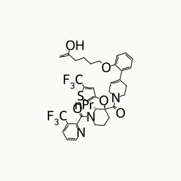 C=C(O)CCCCOc1ccccc1C1=CCN(C(=O)[C@]2(Oc3csc(C(F)(F)F)c3)CCCN(C(=O)c3ncccc3C(F)(F)F)[C@@H]2CCC)CC1